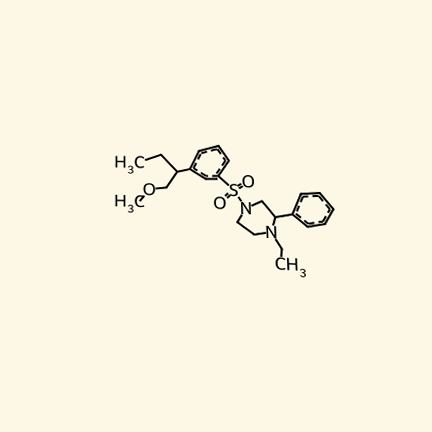 CCC(COC)c1cccc(S(=O)(=O)N2CCN(CC)C(c3ccccc3)C2)c1